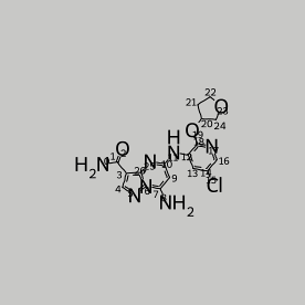 NC(=O)c1cnn2c(N)cc(Nc3cc(Cl)cnc3OC3CCOC3)nc12